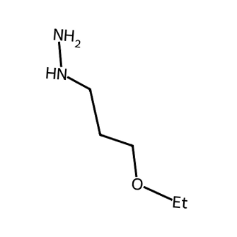 CCOCCCNN